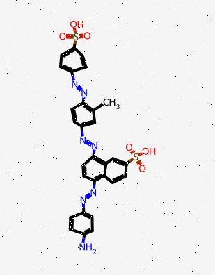 Cc1cc(N=Nc2ccc(N=Nc3ccc(N)cc3)c3ccc(S(=O)(=O)O)cc23)ccc1N=Nc1ccc(S(=O)(=O)O)cc1